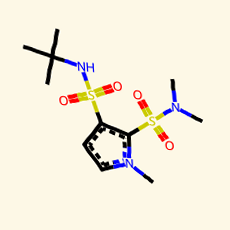 CN(C)S(=O)(=O)c1c(S(=O)(=O)NC(C)(C)C)ccn1C